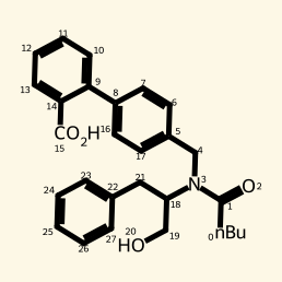 CCCCC(=O)N(Cc1ccc(-c2ccccc2C(=O)O)cc1)C(CO)Cc1ccccc1